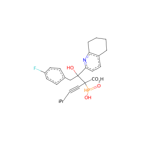 CC(C)C#CC(C(=O)O)([PH](=O)O)C(O)(Cc1ccc(F)cc1)c1ccc2c(n1)CCCC2